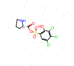 O=C(OS(=O)(=O)c1cc(Cl)c(Cl)c(Cl)c1O)[C@@H]1CCCN1